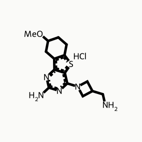 COC1CCc2sc3c(N4CC(CN)C4)nc(N)nc3c2C1.Cl